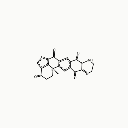 C[C@@]12CCC(=O)c3coc(c31)C(=O)c1cc3c(cc12)C(=O)C1=NCCNN1C3=O